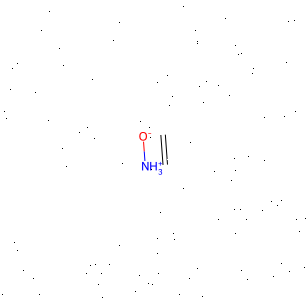 C=C.[NH3+][O-]